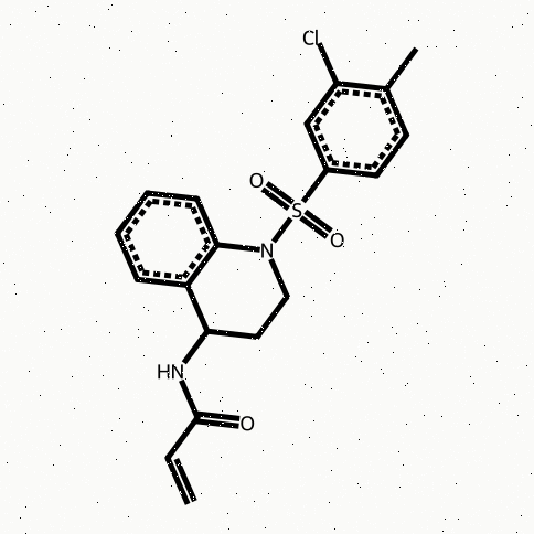 C=CC(=O)NC1CCN(S(=O)(=O)c2ccc(C)c(Cl)c2)c2ccccc21